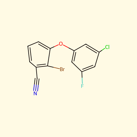 N#Cc1cccc(Oc2cc(F)cc(Cl)c2)c1Br